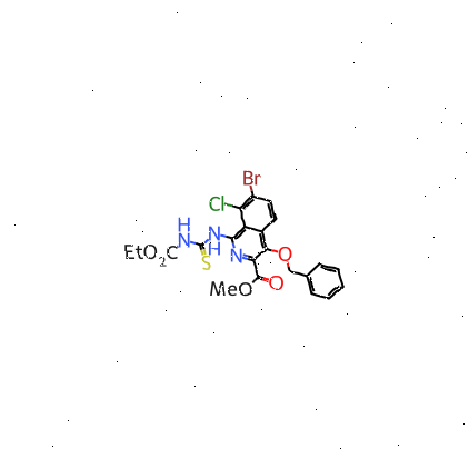 CCOC(=O)NC(=S)Nc1nc(C(=O)OC)c(OCc2ccccc2)c2ccc(Br)c(Cl)c12